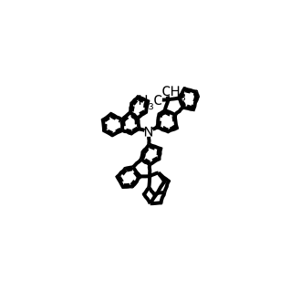 CC1(C)c2ccccc2-c2ccc(N(c3ccc4c(c3)-c3ccccc3C43C4CC5CC(C4)CC3C5)c3cc4ccccc4c4ccccc34)cc21